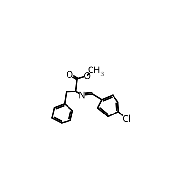 COC(=O)C(Cc1ccccc1)N=Cc1ccc(Cl)cc1